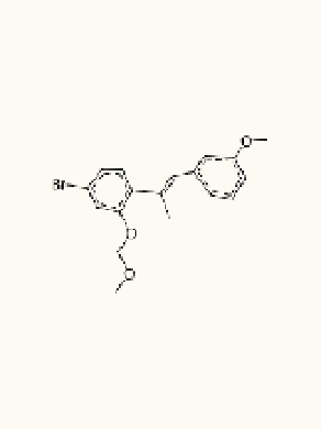 COCOc1cc(Br)ccc1C(C)=Cc1cccc(OC)c1